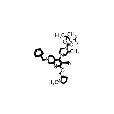 C[C@@H]1CN(c2c(C#N)c(OC[C@@H]3CCCN3C)nc3c2CCN(Cc2ccccc2)C3)CCN1C(=O)OC(C)(C)C